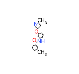 Cc1cccc(C(=O)Nc2cccc(Oc3ccc(C)nc3)c2)c1